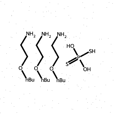 CCCCOCCN.CCCCOCCN.CCCCOCCN.OP(O)(=S)S